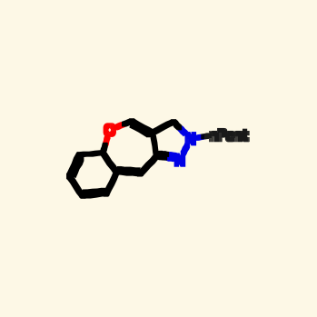 CCCCCN1CC2=COC3C=CC=CC3=CC2=N1